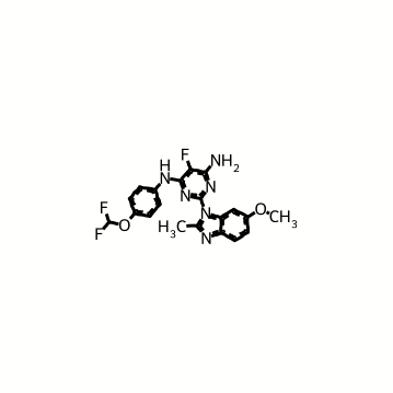 COc1ccc2nc(C)n(-c3nc(N)c(F)c(Nc4ccc(OC(F)F)cc4)n3)c2c1